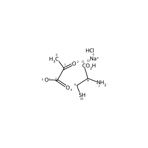 CC(=O)C(=O)[O-].Cl.NC(CS)C(=O)O.[Na+]